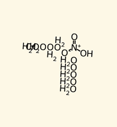 O.O.O.O.O.O.O.O.O.O=[N+]([O-])O.[Cr]